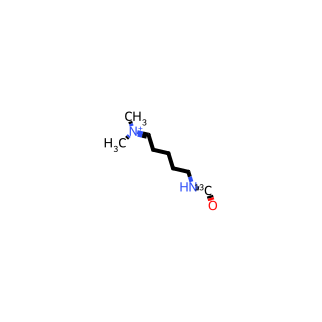 C[N+](C)=CCCCCN[13CH]=O